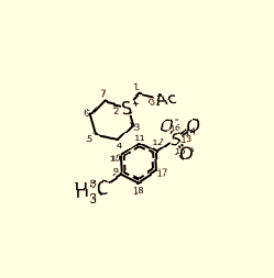 CC(=O)C[S+]1CCCCC1.Cc1ccc(S(=O)(=O)[O-])cc1